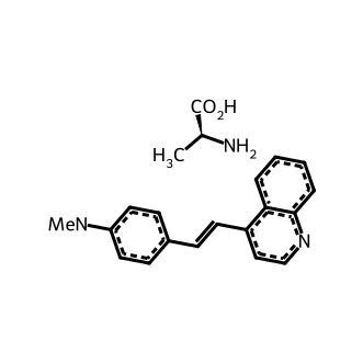 CNc1ccc(C=Cc2ccnc3ccccc23)cc1.C[C@H](N)C(=O)O